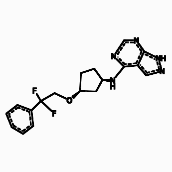 FC(F)(CO[C@H]1CC[C@@H](Nc2ncnc3[nH]ncc23)C1)c1ccccc1